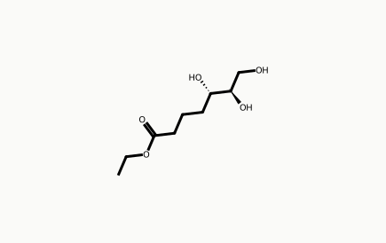 CCOC(=O)CCC[C@H](O)[C@H](O)CO